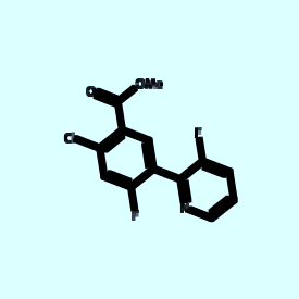 COC(=O)c1cc(-c2ncccc2F)c(F)cc1Cl